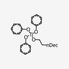 CCCCCCCCCCCC[O][Ti]([O]c1ccccc1)([O]c1ccccc1)[O]c1ccccc1